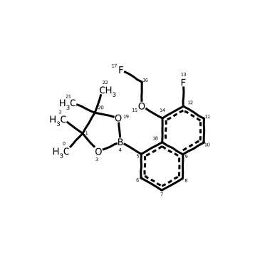 CC1(C)OB(c2cccc3ccc(F)c(OCF)c23)OC1(C)C